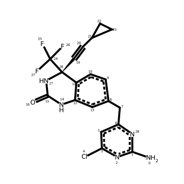 Nc1nc(Cl)cc(Cc2ccc3c(c2)NC(=O)N[C@]3(C#CC2CC2)C(F)(F)F)n1